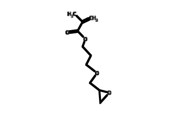 C=C(C)C(=O)OCCCOCC1CO1